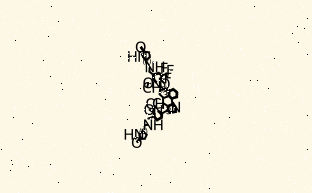 COc1nc(-c2ccnc(-c3cccc4c3CCC[C@H]4Oc3nc(OC)c(CNC[C@H]4CCC(=O)N4)cc3C(F)(F)F)c2Cl)ccc1CNC[C@@H]1CCC(=O)N1